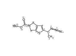 CC(N=[N+]=[N-])c1cc2c(s1)CN(C(=O)OC(C)(C)C)C2